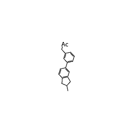 CC(=O)Cc1cccc(-c2ccc3c(c2)CC(C)C3)c1